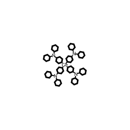 c1ccc(N(c2ccccc2)c2cc[c]([Ge]([c]3ccc(N(c4ccccc4)c4ccccc4)cc3)([c]3ccc(N(c4ccccc4)c4ccccc4)cc3)[c]3ccc(N(c4ccccc4)c4ccccc4)cc3)cc2)cc1